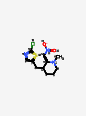 CN1CCCC(Cc2cnc(Cl)s2)C1=C[N+](=O)[O-]